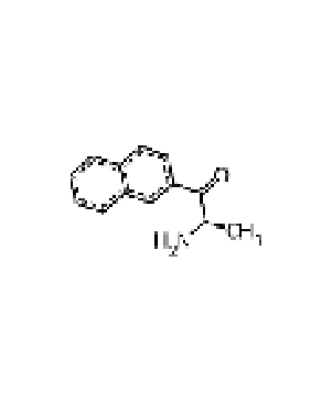 C[C@@H](N)C(=O)c1ccc2ccccc2c1